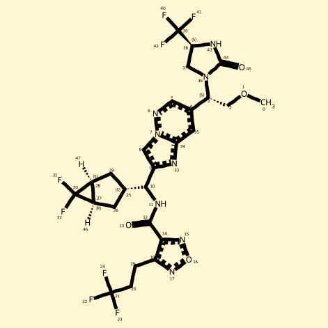 COC[C@H](c1cnn2cc(C(NC(=O)c3nonc3CCC(F)(F)F)[C@@H]3C[C@@H]4[C@H](C3)C4(F)F)nc2c1)N1C[C@@H](C(F)(F)F)NC1=O